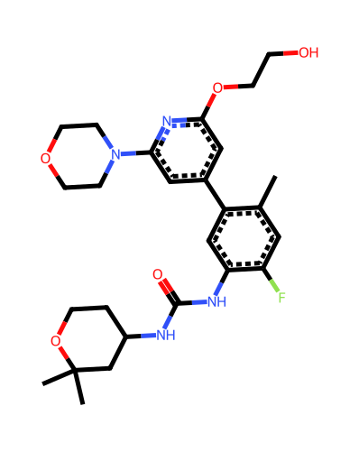 Cc1cc(F)c(NC(=O)NC2CCOC(C)(C)C2)cc1-c1cc(OCCO)nc(N2CCOCC2)c1